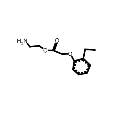 CCc1ccccc1OCC(=O)OCCN